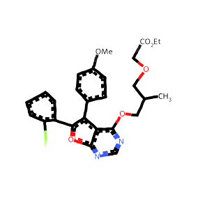 CCOC(=O)COCC(C)COc1ncnc2oc(-c3ccccc3F)c(-c3ccc(OC)cc3)c12